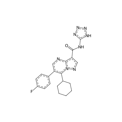 O=C(Nc1nnn[nH]1)c1cnn2c(C3CCCCC3)c(-c3ccc(F)cc3)cnc12